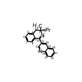 CC(C)C1(C)Cc2ccccc2C(c2cnc3ccccc3c2)=N1